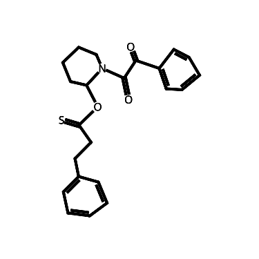 O=C(C(=O)N1CCCCC1OC(=S)CCc1ccccc1)c1ccccc1